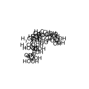 C[C@H](C(O)C[C@@H](O[C@@H]1O[C@H](CO[C@@H]2O[C@H](CO)[C@@H](O)[C@H](O)[C@H]2O)[C@@H](O)[C@H](O)[C@H]1O)C(C)(C)O)C1CC[C@@]2(C)[C@@H]3CC=C4[C@@H](CC[C@H](O[C@@H]5O[C@H](CO)[C@@H](O[C@@H]6O[C@H](CO)[C@@H](O)[C@H](O)[C@H]6O)[C@H](O)[C@H]5O)C4(C)C)[C@]3(C)[C@H](O)C[C@]12C